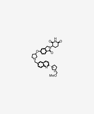 COC[C@@H]1CC[C@@H](c2ccc3cc(CN4CCC(Oc5ccc6c(c5)CN(C5CCC(=O)NC5=O)C6=O)C4)ccc3n2)C1